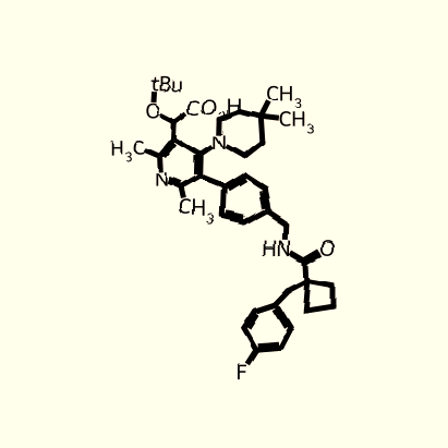 Cc1nc(C)c(C(OC(C)(C)C)C(=O)O)c(N2CCC(C)(C)CC2)c1-c1ccc(CNC(=O)C2(Cc3ccc(F)cc3)CCC2)cc1